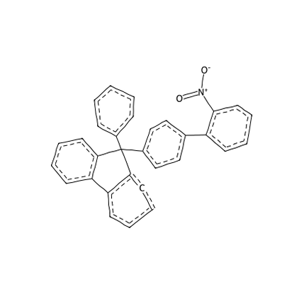 O=[N+]([O-])c1ccccc1-c1ccc(C2(c3ccccc3)c3ccccc3-c3ccccc32)cc1